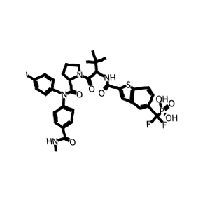 CNC(=O)c1ccc(N(C(=O)C2CCCN2C(=O)C(NC(=O)c2cc3cc(C(F)(F)P(=O)(O)O)ccc3s2)C(C)(C)C)c2ccc(I)cc2)cc1